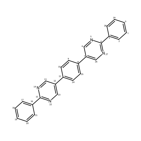 c1ccc(-c2ncc(-c3ccc(-c4cnc(-c5ccccc5)nc4)cc3)cn2)cc1